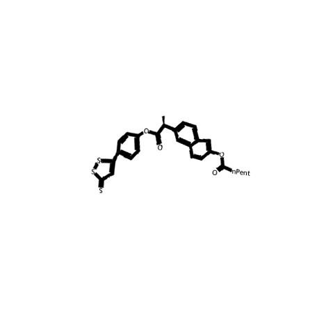 CCCCCC(=O)Oc1ccc2cc([C@H](C)C(=O)Oc3ccc(-c4cc(=S)ss4)cc3)ccc2c1